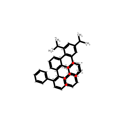 CC(C)c1cc(C(C)C)c(-c2cccc(-c3c(-c4ccccc4)cccc3-c3ccccc3)c2Pc2ccccc2O)c(C(C)C)c1